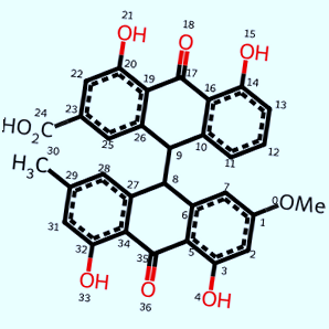 COc1cc(O)c2c(c1)C(C1c3cccc(O)c3C(=O)c3c(O)cc(C(=O)O)cc31)c1cc(C)cc(O)c1C2=O